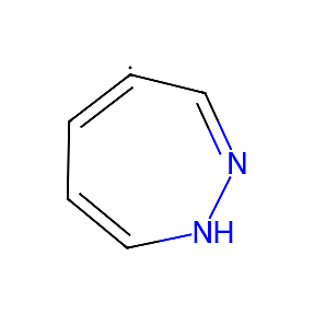 [C]1=CC=CNN=C1